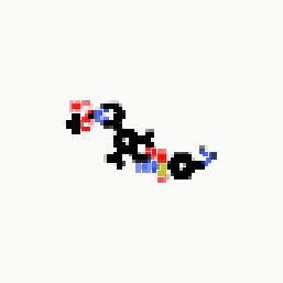 CC(C)c1cc(C2=CCCN(C(O)OC(C)(C)C)C2)cc(C(C)C)c1CC(=O)NS(=O)(=O)c1ccc(CN(C)C)cc1